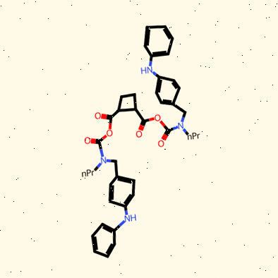 CCCN(Cc1ccc(Nc2ccccc2)cc1)C(=O)OC(=O)C1CCC1C(=O)OC(=O)N(CCC)Cc1ccc(Nc2ccccc2)cc1